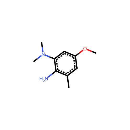 COc1cc(C)c(N)c(N(C)C)c1